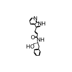 O=C(C=Cc1c[nH]c2ncccc12)N[C@H](CO)Cc1ccccc1